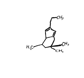 CCC1=CC2C(=C1)C(C)(C)CC2C